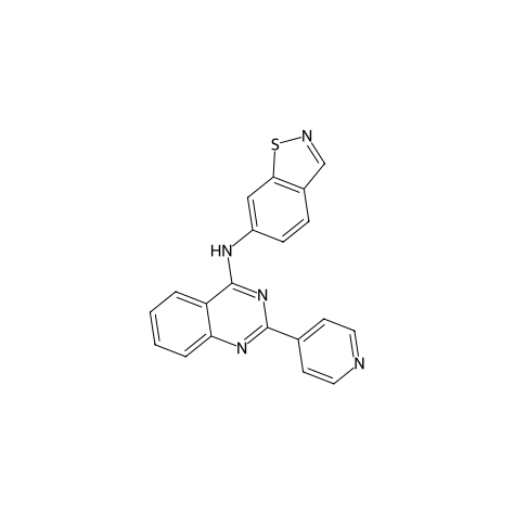 c1ccc2c(Nc3ccc4cnsc4c3)nc(-c3ccncc3)nc2c1